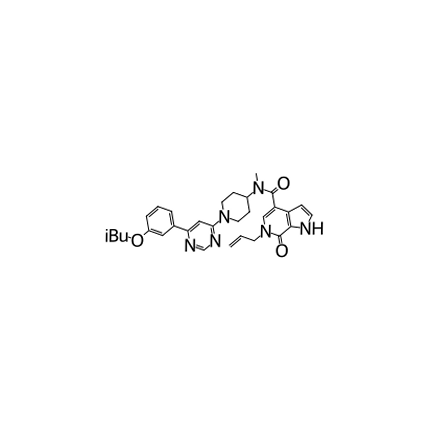 C=CCn1cc(C(=O)N(C)C2CCN(c3cc(-c4cccc(OC(C)CC)c4)ncn3)CC2)c2cc[nH]c2c1=O